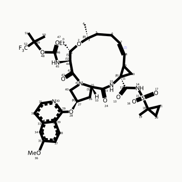 CC[C@@H]1O[C@H](C)CC/C=C\C2C[C@@]2(C(=O)NS(=O)(=O)C2(C)CC2)NC(=O)[C@@H]2C[C@@H](Oc3nccc4cc(OC)ccc34)CN2C(=O)[C@H]1NC(=O)OC(C)(C)C(F)(F)F